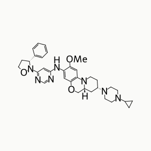 COc1cc2c(cc1Nc1cc(N3OCC[C@@H]3c3ccccc3)ncn1)OC[C@H]1C[C@@H](N3CCN(C4CC4)CC3)CCN21